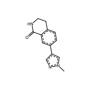 Cn1cc(-c2ccc3c(c2)C(=O)NCC3)cn1